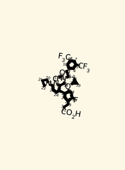 C[C@H]1[C@@H](c2cc(C(F)(F)F)cc(C(F)(F)F)c2)OC(=O)N1Cc1nc(N2CCC2)ccc1-c1cc(CCC(=O)O)c(F)cc1OC1CC1